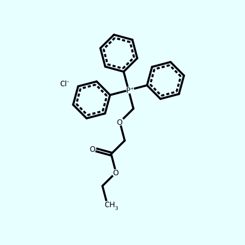 CCOC(=O)COC[P+](c1ccccc1)(c1ccccc1)c1ccccc1.[Cl-]